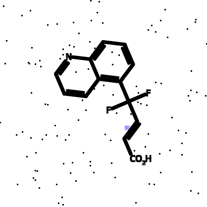 O=C(O)/C=C/C(F)(F)c1cccc2ncccc12